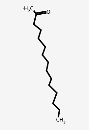 [CH2]C(=O)CCCCCCCCCCCCC